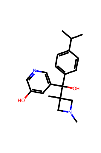 CC(C)c1ccc(C(O)(c2cncc(O)c2)C2(C)CN(C)C2)cc1